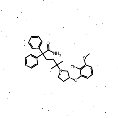 COc1cccc(O[C@H]2CCN(C(C)(C)CCC(C(N)=O)(c3ccccc3)c3ccccc3)C2)c1Cl